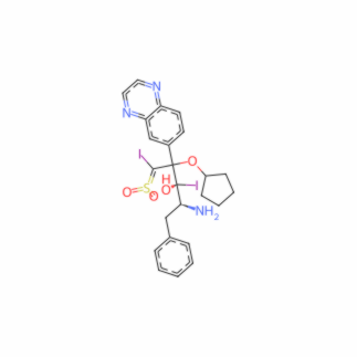 N[C@@H](Cc1ccccc1)[C@@](O)(I)C(OC1CCCC1)(C(I)=S(=O)=O)c1ccc2nccnc2c1